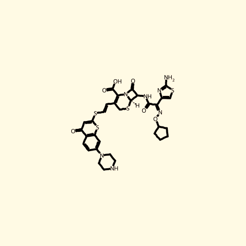 Nc1nc(/C(=N/OC2CCCC2)C(=O)NC2C(=O)N3C(C(=O)O)=C(/C=C/Sc4cc(=O)c5ccc(N6CCNCC6)cc5s4)CS[C@H]23)cs1